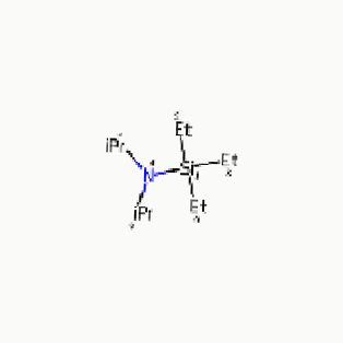 CC[Si](CC)(CC)N(C(C)C)C(C)C